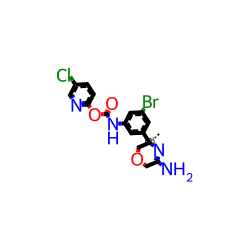 C[C@@]1(c2cc(Br)cc(NC(=O)Oc3ccc(Cl)cn3)c2)COCC(N)=N1